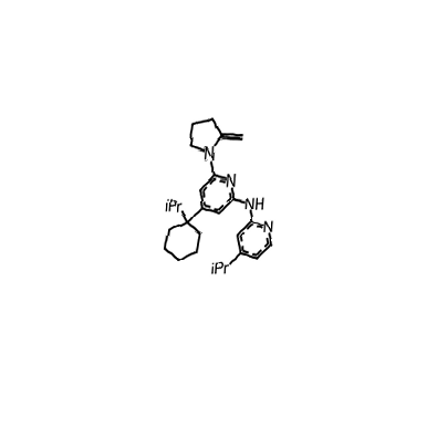 C=C1CCCN1c1cc(C2(C(C)C)CCCCC2)cc(Nc2cc(C(C)C)ccn2)n1